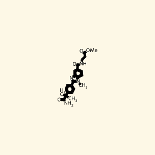 COC(=O)CCNC(=O)c1ccc2c(c1)nc(-c1ccc(C(C)(C)C(N)=O)cc1)n2C